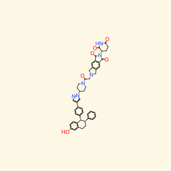 O=C1CCC(N2C(=O)c3cc4c(cc3C2=O)CN(CC(=O)N2CCC(n3cc(-c5ccc([C@@H]6c7ccc(O)cc7CC[C@@H]6c6ccccc6)cc5)cn3)CC2)C4)C(=O)N1